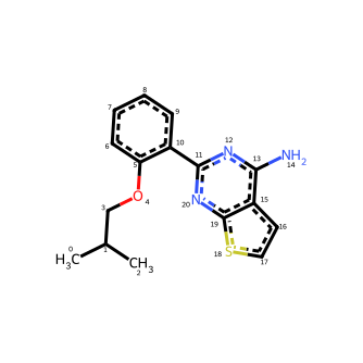 CC(C)COc1ccccc1-c1nc(N)c2ccsc2n1